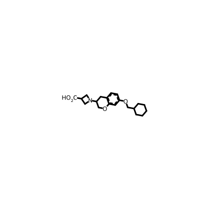 O=C(O)C1CN(C2COc3cc(OCC4CCCCC4)ccc3C2)C1